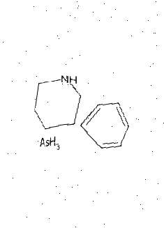 C1CCNCC1.[AsH3].c1ccccc1